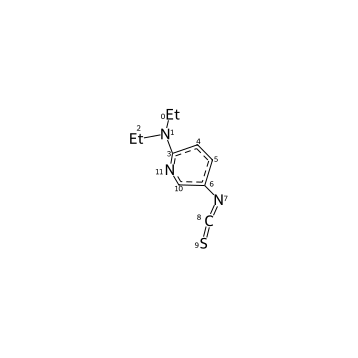 CCN(CC)c1ccc(N=C=S)cn1